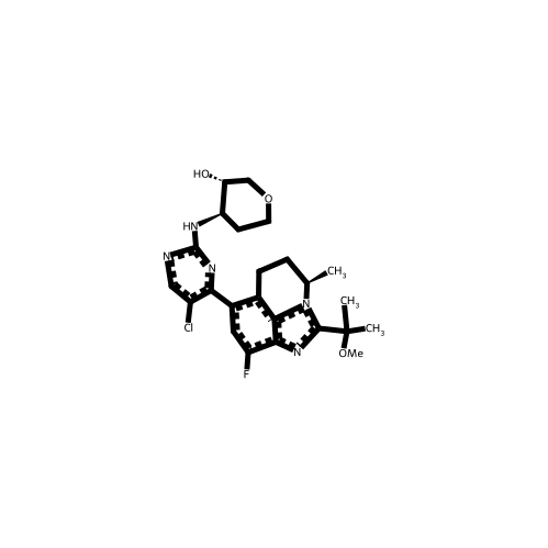 COC(C)(C)c1nc2c(F)cc(-c3nc(N[C@@H]4CCOC[C@H]4O)ncc3Cl)c3c2n1[C@H](C)CC3